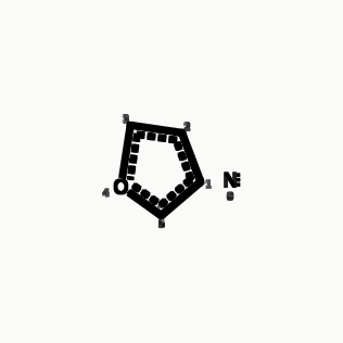 [N].c1ccoc1